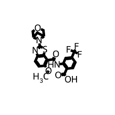 COc1ccc2nc(N3C4COCC3C4)sc2c1C(=O)Nc1cc(C(F)(F)F)ccc1C(=O)O